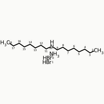 Br.Br.CCCCCCCCNCCCCCCCC.N